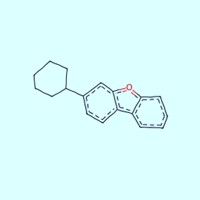 c1ccc2c(c1)oc1cc(C3CCCCC3)ccc12